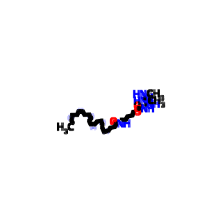 CC/C=C\C/C=C\C/C=C\C/C=C\C/C=C\C/C=C\CCC(=O)NCCCCCOC(=O)NC(=N)NC(=N)N(C)C